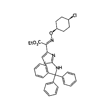 CCOC(=O)/C(=N\O[C@H]1CC[C@@H](Cl)CC1)c1csc(NC(c2ccccc2)(c2ccccc2)c2ccccc2)n1